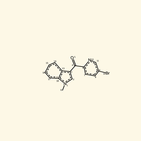 Cn1cc(C(=O)c2ccc(Br)cn2)c2ccccc21